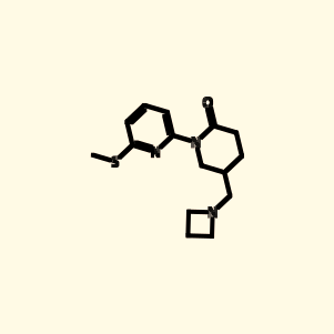 CSc1cccc(N2CC(CN3CCC3)CCC2=O)n1